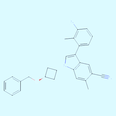 Cc1cc2c(cc1C#N)c(-c1cccc(N)c1C)cn2[C@H]1C[C@H](OCc2ccccc2)C1